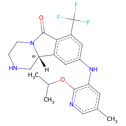 Cc1cnc(OC(C)C)c(Nc2cc3c(c(C(F)(F)F)c2)C(=O)N2CCNC[C@@H]32)c1